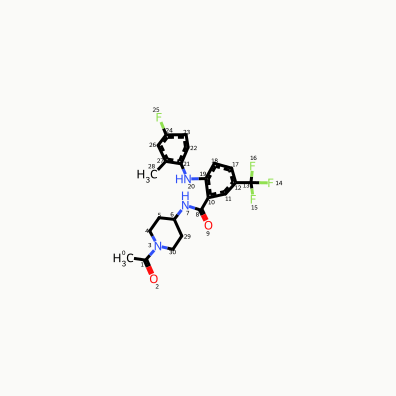 CC(=O)N1CCC(NC(=O)c2cc(C(F)(F)F)ccc2Nc2ccc(F)cc2C)CC1